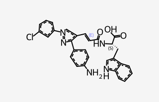 Nc1ccc(-c2nn(-c3cccc(Cl)c3)cc2/C=C/C(=O)N[C@@H](Cc2c[nH]c3ccccc23)C(=O)O)cc1